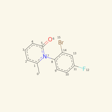 Cc1cccc(=O)n1-c1ccc(F)cc1Br